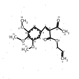 C=CCOC(=O)C(=Cc1cc(OC)c(OC)c(OC)c1)C(C)=O